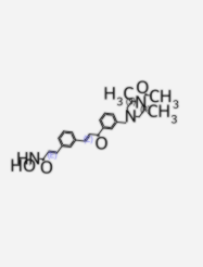 CC(=O)N1[C@H](C)CN(Cc2cccc(C(=O)/C=C/c3cccc(/C=C/C(=O)NO)c3)c2)C[C@@H]1C